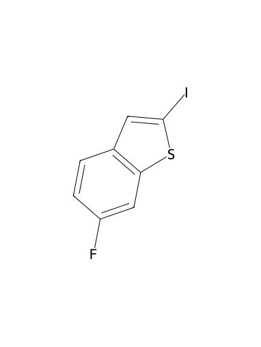 Fc1ccc2cc(I)sc2c1